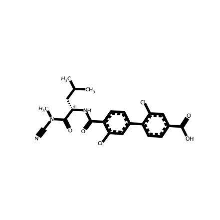 CC(C)C[C@H](NC(=O)c1ccc(-c2ccc(C(=O)O)cc2Cl)cc1Cl)C(=O)N(C)C#N